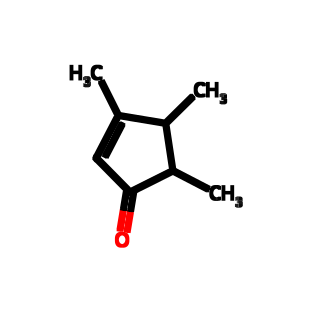 CC1=CC(=O)C(C)C1C